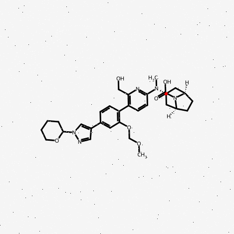 COCOc1cc(-c2cnn(C3CCCCO3)c2)ccc1-c1ccc(N(C)[C@@H]2C[C@H]3CC[C@@H](C2)N3C(=O)O)nc1CO